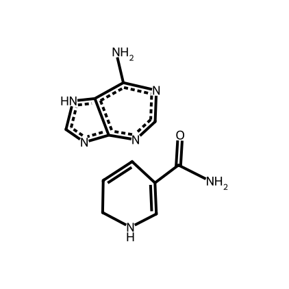 NC(=O)C1=CNCC=C1.Nc1ncnc2nc[nH]c12